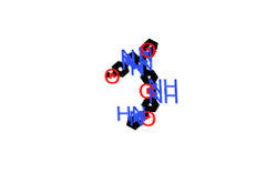 COC1CCC(n2ncc3c(N4CC5CCC(C4)O5)nc(-c4ccc(NC(=O)Nc5ccc(C(=O)Nn6cccc6)cc5)cc4)nc32)CC1